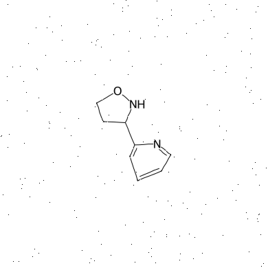 c1ccc(C2CCON2)nc1